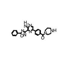 Nc1ncc(-c2ccc(C(=O)N3CCCNCC3)cc2)nc1-c1noc(-c2ccccc2)n1